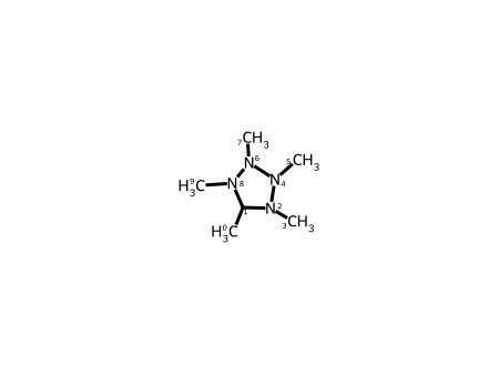 CC1N(C)N(C)N(C)N1C